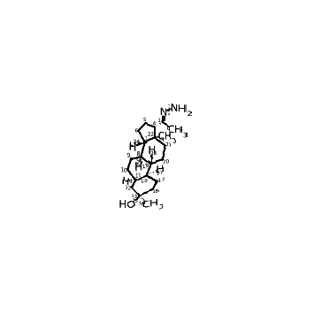 C/C(=N\N)[C@H]1CC[C@H]2[C@@H]3CC[C@@H]4C[C@](C)(O)CC[C@@H]4[C@H]3CC[C@]12C